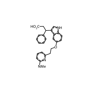 CNc1cccc(CCOc2ccc3[nH]cc(C(CC(=O)O)c4ccccc4)c3c2)n1